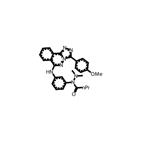 CCCC(=O)N(c1cccc(Nc2nn3c(-c4ccc(OC)cc4)nnc3c3ccccc23)c1)N(C)C